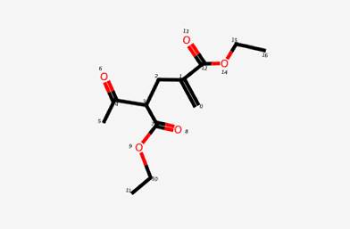 C=C(CC(C(C)=O)C(=O)OCC)C(=O)OCC